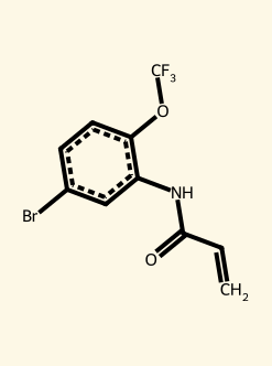 C=CC(=O)Nc1cc(Br)ccc1OC(F)(F)F